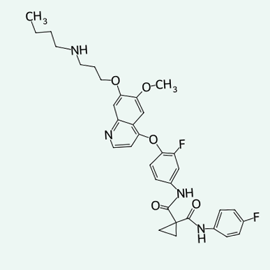 CCCCNCCCOc1cc2nccc(Oc3ccc(NC(=O)C4(C(=O)Nc5ccc(F)cc5)CC4)cc3F)c2cc1OC